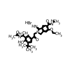 Br.CCOc1cc2c(cc1C(=O)NC)C(=N)N(CC(=O)c1cc(C(C)NC(C)=O)c(O)c(C(C)(C)C)c1)C2